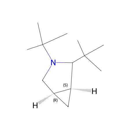 CC(C)(C)C1[C@H]2C[C@H]2CN1C(C)(C)C